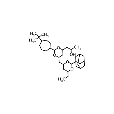 CCC1CC(CC2CC(CC(C)O)OC(C3CCCC(C(C)(C)C)CC3)O2)OC(C23CC4CC(CC(C4)C2)C3)O1